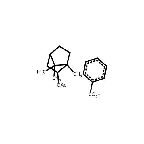 CC(=O)OC1CC2CCC1(C)C2(C)C.O=C(O)c1ccccc1